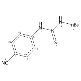 CCCCNC(=S)Nc1ccc(C#N)cc1